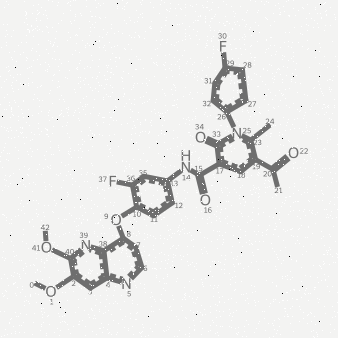 COc1cc2nccc(Oc3ccc(NC(=O)c4cc(C(C)=O)c(C)n(-c5ccc(F)cc5)c4=O)cc3F)c2nc1OC